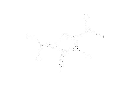 CCn1c(=C(C)C)sc(=C(C)C)c1=O